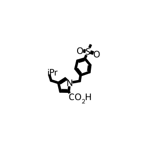 CC(C)Cc1cc(C(=O)O)n(Cc2ccc(S(C)(=O)=O)cc2)c1